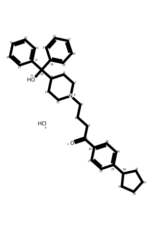 Cl.O=C(CCCN1CCC(C(O)(c2ccccc2)c2ccccc2)CC1)c1ccc(C2CCCC2)cc1